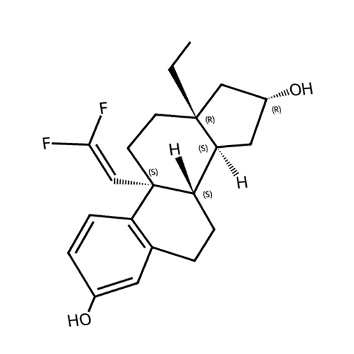 CC[C@]12CC[C@]3(C=C(F)F)c4ccc(O)cc4CC[C@H]3[C@@H]1C[C@@H](O)C2